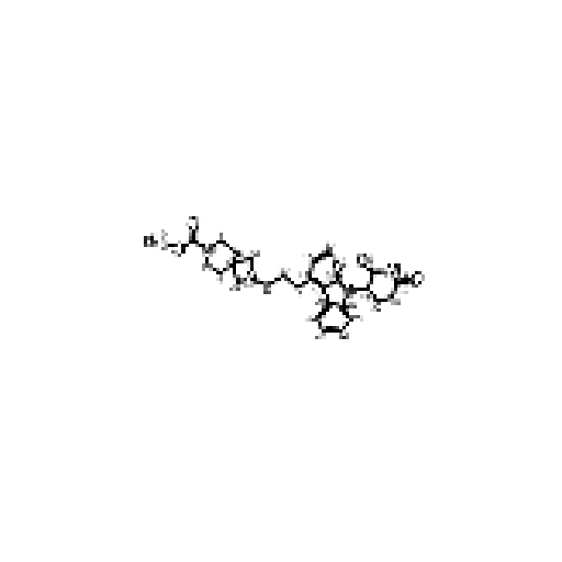 CC(C)(C)OC(=O)N1CCC2(CC1)CN(CCCc1ccnc3c1c1ccccc1n3C1CCC(=O)NC1=O)C2